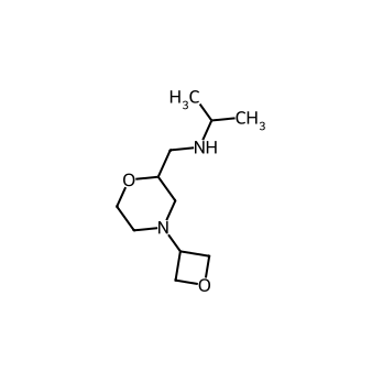 CC(C)NCC1CN(C2COC2)CCO1